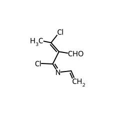 C=C/N=C(Cl)\C(C=O)=C(/C)Cl